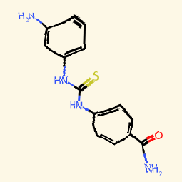 NC(=O)c1ccc(NC(=S)Nc2cccc(N)c2)cc1